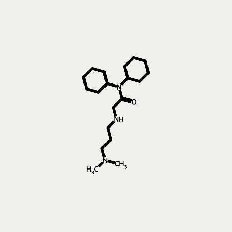 CN(C)CCCNCC(=O)N(C1CCCCC1)C1CCCCC1